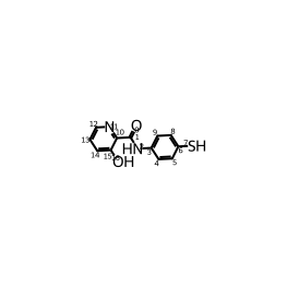 O=C(Nc1ccc(S)cc1)c1ncccc1O